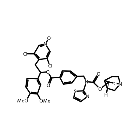 COc1ccc(C(Cc2c(Cl)c[n+]([O-])cc2Cl)OC(=O)c2ccc(CN(C(=O)O[C@H]3CN4CCC3CC4)c3nccs3)cc2)cc1OC